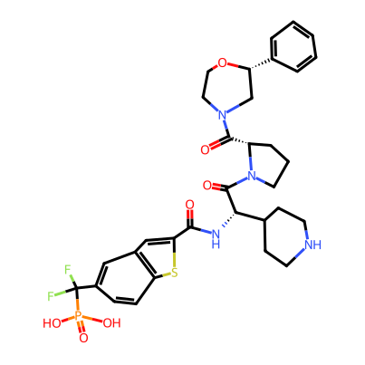 O=C(N[C@H](C(=O)N1CCC[C@H]1C(=O)N1CCO[C@H](c2ccccc2)C1)C1CCNCC1)c1cc2cc(C(F)(F)P(=O)(O)O)ccc2s1